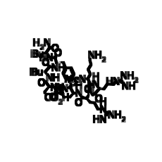 CC[C@H](C)[C@H](NC(=O)[C@H](Cc1ccccc1)NC(=O)[C@@H](NC(=O)[C@H](CC(=O)O)NC(=O)[C@H](C)NC(=O)[C@H](C)NC(=O)[C@H](CCCNC(=N)N)NC(=O)[C@H](CCCNC(=N)N)NC(=O)[C@H](CCCCN)NC)[C@@H](C)CC)C(N)=O